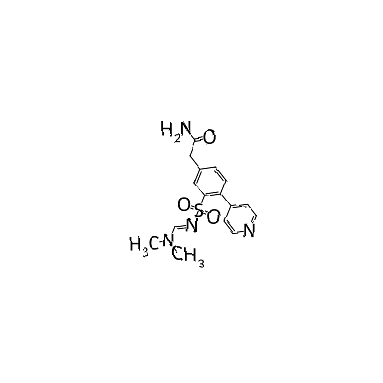 CN(C)C=NS(=O)(=O)c1cc(CC(N)=O)ccc1-c1ccncc1